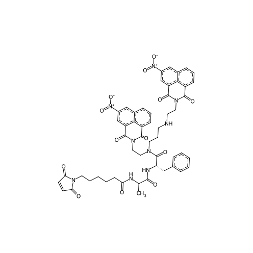 CC(NC(=O)CCCCCN1C(=O)C=CC1=O)C(=O)N[C@@H](Cc1ccccc1)C(=O)N(CCCNCCN1C(=O)c2cccc3cc([N+](=O)[O-])cc(c23)C1=O)CCN1C(=O)c2cccc3cc([N+](=O)[O-])cc(c23)C1=O